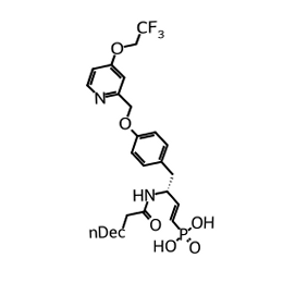 CCCCCCCCCCCC(=O)N[C@@H](C=CP(=O)(O)O)Cc1ccc(OCc2cc(OCC(F)(F)F)ccn2)cc1